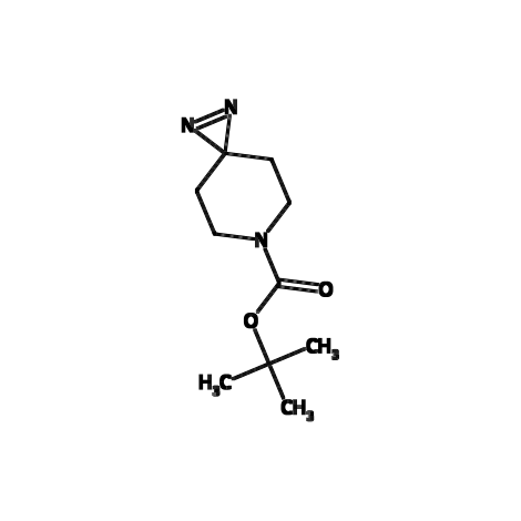 CC(C)(C)OC(=O)N1CCC2(CC1)N=N2